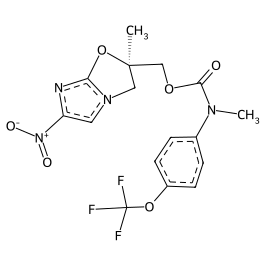 CN(C(=O)OC[C@@]1(C)Cn2cc([N+](=O)[O-])nc2O1)c1ccc(OC(F)(F)F)cc1